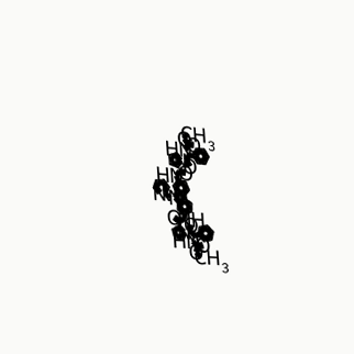 COC(=O)N[C@@H](C(=O)N1CCC[C@H]1C(=O)Nc1ccc2c3ccc(NC(=O)[C@@H]4CCCN4C(=O)[C@H](NC(=O)OC)c4ccccc4)cc3n(Cc3ccccn3)c2c1)c1ccccc1